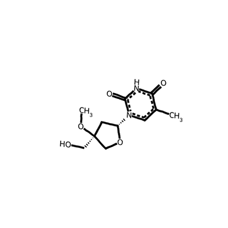 CO[C@]1(CO)CO[C@@H](n2cc(C)c(=O)[nH]c2=O)C1